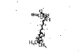 CN(C)S(=O)(=O)n1cnc(CCCCCNS(=O)(=O)NC(=O)OC(C)(C)C)c1